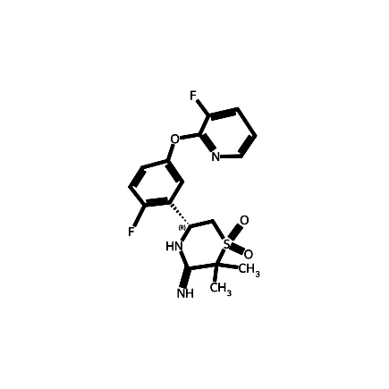 CC1(C)C(=N)N[C@H](c2cc(Oc3ncccc3F)ccc2F)CS1(=O)=O